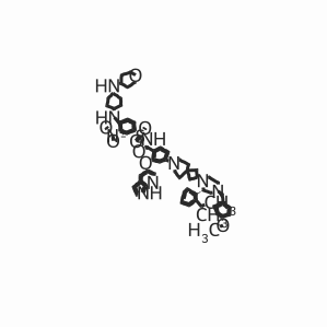 COc1ccc(CN2CCN(C3CC4(CCN(c5ccc(C(=O)NS(=O)(=O)c6ccc(NC7CCC(NC8CCOCC8)CC7)c([N+](=O)[O-])c6)c(Oc6cnc7[nH]ccc7c6)c5)CC4)C3)[C@@H](c3ccccc3C(C)C)C2)cc1